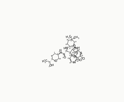 CC(O)[C@@H]1CC[C@@H](NC(=O)[C@@H]2NC3(CCC(C)(C)CC3)[C@@]3(C(=O)Nc4nc(Cl)ccc43)[C@H]2c2ccnc(Cl)c2F)CO1